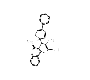 COC1(C2C(C#N)=C(N)Oc3c2c(=O)oc2ccccc32)C=CC(c2ccccc2)=CC1